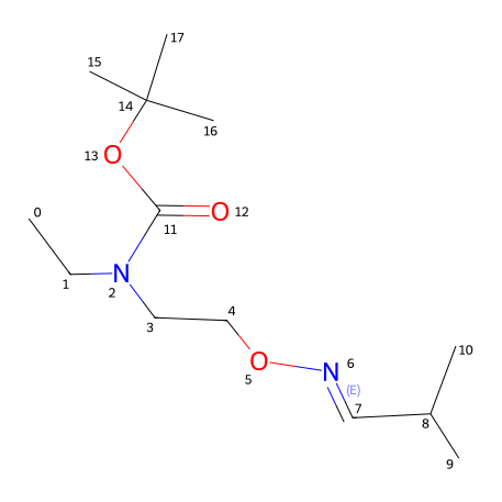 CCN(CCO/N=C/C(C)C)C(=O)OC(C)(C)C